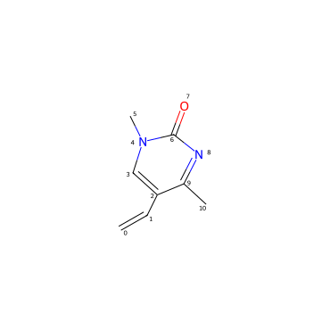 C=Cc1cn(C)c(=O)nc1C